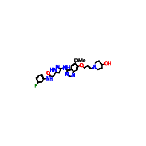 COc1cc2c(Nc3cc(CC(=O)Nc4cccc(F)c4)[nH]n3)ncnc2cc1OCCCN1CCC(O)CC1